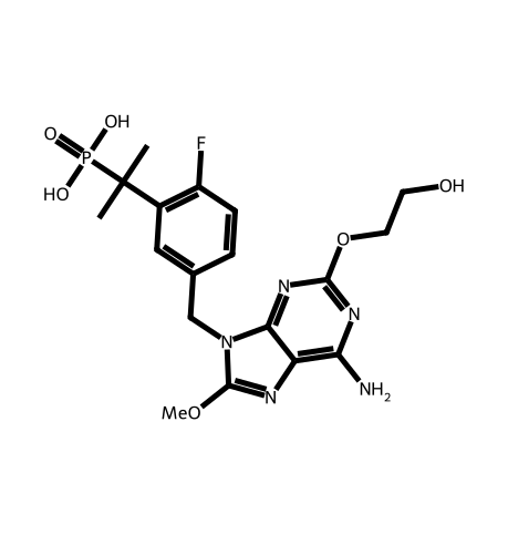 COc1nc2c(N)nc(OCCO)nc2n1Cc1ccc(F)c(C(C)(C)P(=O)(O)O)c1